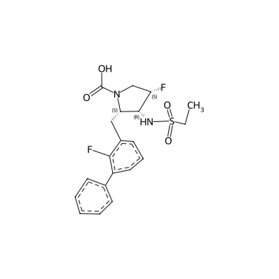 CCS(=O)(=O)N[C@H]1[C@@H](F)CN(C(=O)O)[C@H]1Cc1cccc(-c2ccccc2)c1F